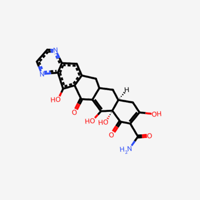 NC(=O)C1=C(O)C[C@@H]2CC3Cc4cc5nccnc5c(O)c4C(=O)C3=C(O)[C@]2(O)C1=O